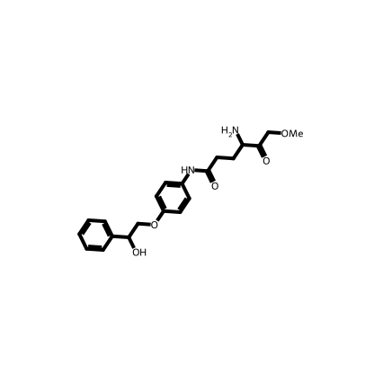 COCC(=O)C(N)CCC(=O)Nc1ccc(OCC(O)c2ccccc2)cc1